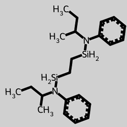 CCC(C)N([SiH2]CC[SiH2]N(c1ccccc1)C(C)CC)c1ccccc1